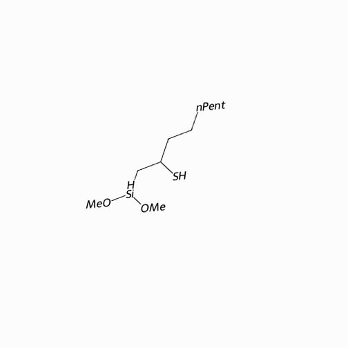 CCCCCCCC(S)C[SiH](OC)OC